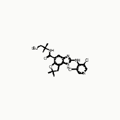 CC(C)(C)CC(C)(C)NC(=O)c1cc2nc(Nc3c(Cl)cncc3Cl)[nH]c2c2c1OC(C)(C)C2